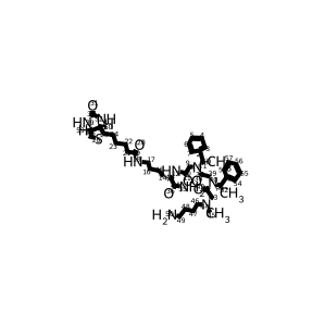 C[C@@H](c1ccccc1)N(CC(=O)N[C@@H](CCCCNC(=O)CCCCC1SC[C@@H]2NC(=O)N[C@H]12)C(N)=O)C(=O)CN(C(=O)CN(C)CCCCN)[C@@H](C)c1ccccc1